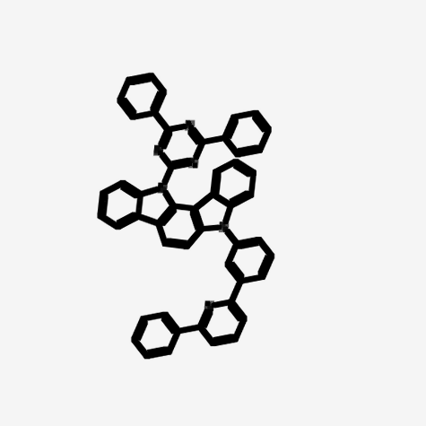 c1ccc(-c2cccc(-c3cccc(-n4c5ccccc5c5c4ccc4c6ccccc6n(-c6nc(-c7ccccc7)nc(-c7ccccc7)n6)c45)c3)n2)cc1